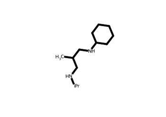 CC(CNC(C)C)CNC1CCCCC1